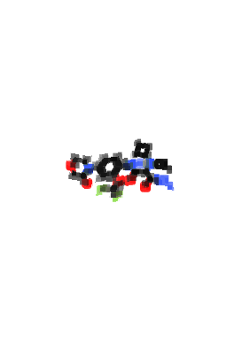 CN(C1CCC1)[C@@H](C(N)=O)C(=O)Nc1ccc(N2CCOCC2=O)cc1OC(F)F